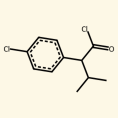 CC(C)C(C(=O)Cl)c1ccc(Cl)cc1